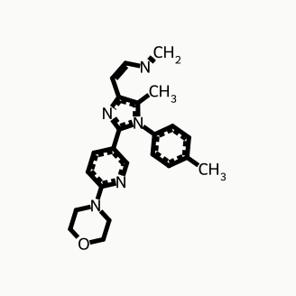 C=N/C=C\c1nc(-c2ccc(N3CCOCC3)nc2)n(-c2ccc(C)cc2)c1C